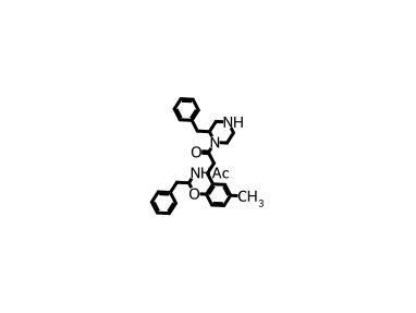 CC(=O)NC(Cc1ccccc1)Oc1ccc(C)cc1CCC(=O)N1CCNCC1Cc1ccccc1